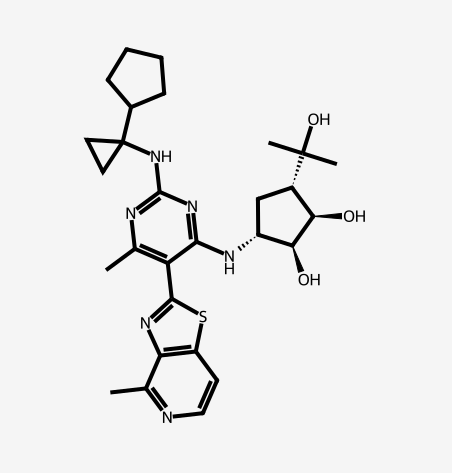 Cc1nc(NC2(C3CCCC3)CC2)nc(N[C@@H]2C[C@H](C(C)(C)O)[C@@H](O)[C@H]2O)c1-c1nc2c(C)nccc2s1